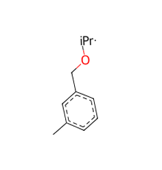 C[C](C)OCc1cccc(C)c1